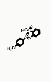 Nc1ccc(N=Nc2ccccc2S(=O)(=O)O)cc1